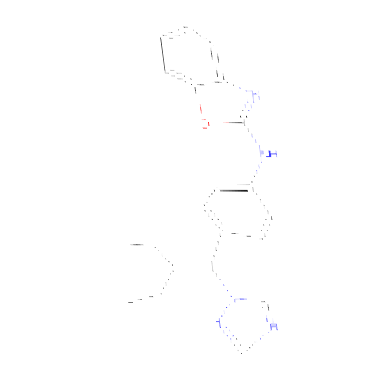 CCC(CC)C(c1ccc(Nc2nc3ccccc3o2)cc1)n1cncn1